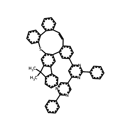 CC1(C)c2ccccc2-c2cc3c(cc21)Sc1ccccc1-c1ccccc1/C=C\c1ccc(-c2cc(-c4cnc(-c5ccccc5)nc4)nc(-c4ccccc4)n2)cc1-3